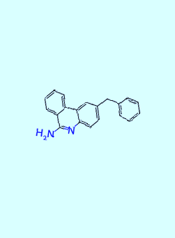 Nc1nc2ccc(Cc3ccccc3)cc2c2ccccc12